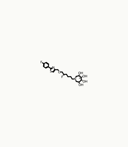 O[C@H]1[C@H](O)[C@@H](O)CN(CCCC[C@H](F)COCc2csc(-c3ccc(F)cc3)n2)C[C@@H]1O